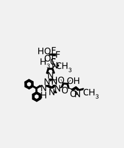 CCc1cc([C@H]2O[C@@H](n3cnc4c(NCC(c5ccccc5)c5ccccc5)nc(N5CC[C@@H](N(C)C)C5)nc43)[C@H](O)[C@@H]2O)on1.O=C(O)C(F)(F)F